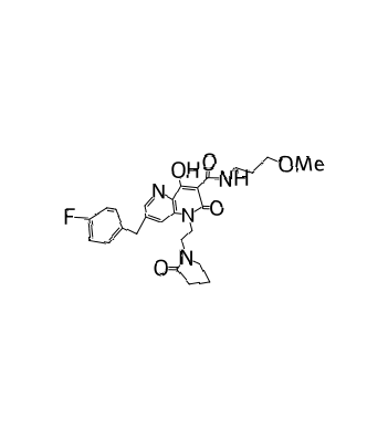 COCCCNC(=O)c1c(O)c2ncc(Cc3ccc(F)cc3)cc2n(CCN2CCCC2=O)c1=O